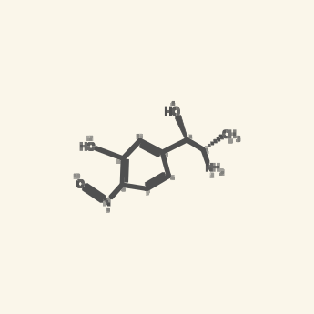 C[C@H](N)[C@H](O)c1ccc(N=O)c(O)c1